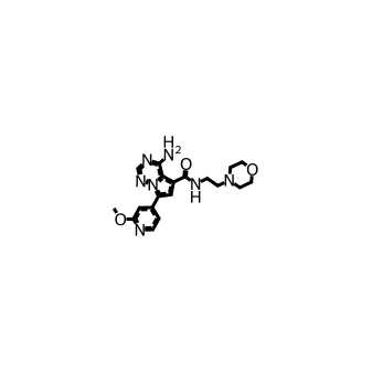 COc1cc(-c2cc(C(=O)NCCN3CCOCC3)c3c(N)ncnn23)ccn1